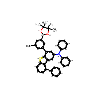 Cc1cc(B2OC(C)(C)C(C)(C)O2)cc(-c2cc(N(c3ccccc3)c3ccccc3)cc3c2sc2cccc(-c4ccccc4)c23)c1